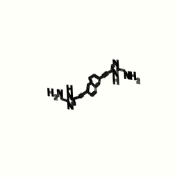 NCc1ncc(C#Cc2ccc3cc(C#Cc4cnc(CN)[nH]4)ccc3c2)[nH]1